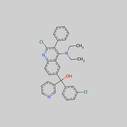 CCN(CC)c1c(-c2ccccc2)c(Cl)nc2ccc(C(O)(c3cccnc3)c3cccc(Cl)c3)cc12